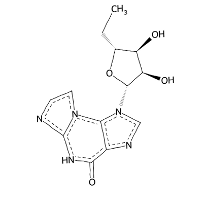 CC[C@H]1O[C@@H](n2cnc3c(=O)[nH]c4nccn4c32)[C@H](O)[C@@H]1O